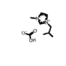 CC(C)C[n+]1ccn(C)c1.O=C([O-])O